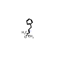 CP(C)(=O)/C=C/Cc1ccccc1